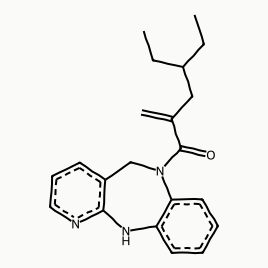 C=C(CC(CC)CC)C(=O)N1Cc2cccnc2Nc2ccccc21